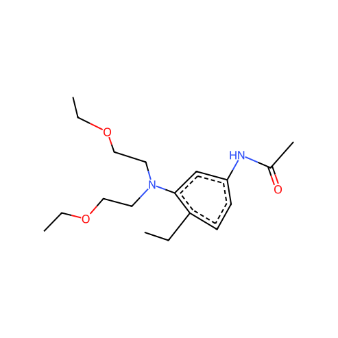 CCOCCN(CCOCC)c1cc(NC(C)=O)ccc1CC